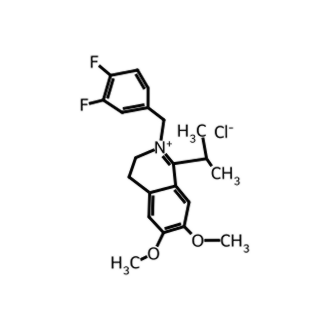 COc1cc2c(cc1OC)C(C(C)C)=[N+](Cc1ccc(F)c(F)c1)CC2.[Cl-]